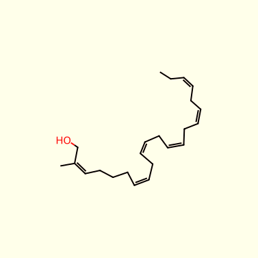 CC/C=C\C/C=C\C/C=C\C/C=C\C/C=C\CCC/C=C(/C)CO